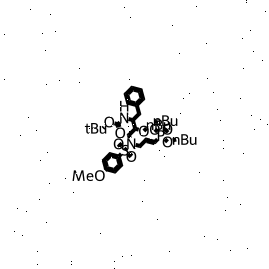 CCCCOC(CN(CC=CP(=O)(OCCCC)OCCCC)S(=O)(=O)c1ccc(OC)cc1)C(Cc1ccccc1)NC(=O)OC(C)(C)C